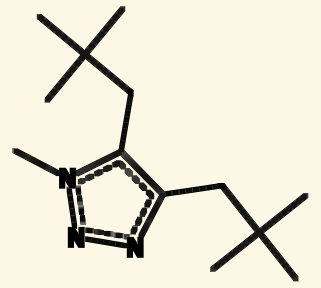 Cn1nnc(CC(C)(C)C)c1CC(C)(C)C